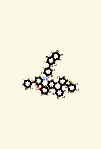 c1ccc(-c2ccc(N(c3ccc(-c4ccc5ccccc5c4)cc3)c3ccc(-c4ccccc4-c4cccc5sc6ccccc6c45)cc3)c3c2oc2ccccc23)cc1